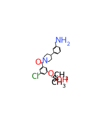 C[Si](C)(O)COc1cc(Cl)cc(C(=O)N2CCC(c3cccc(CN)c3)CC2)c1